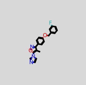 Cc1c(-c2ccc(OCc3cccc(F)c3)cc2)noc1-n1ccnc1